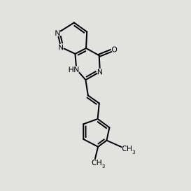 Cc1ccc(/C=C/c2nc(=O)c3ccnnc3[nH]2)cc1C